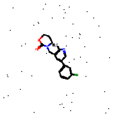 Cc1ncc(-c2cccc(F)c2)cc1CN1CCCOC1=O